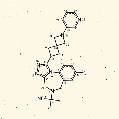 CC(C)(C#N)N1Cc2cc(Cl)ccc2-n2c(nnc2C2CC3(C2)CN(c2cnccn2)C3)C1